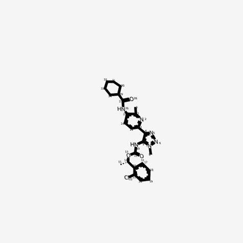 Cc1nc(-c2nnn(C)c2NC(=O)O[C@@H](C)c2ccccc2Cl)ccc1NC(=O)C1CCCCC1